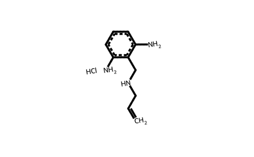 C=CCNCc1c(N)cccc1N.Cl